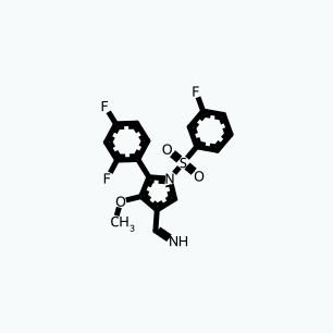 COc1c(C=N)cn(S(=O)(=O)c2cccc(F)c2)c1-c1ccc(F)cc1F